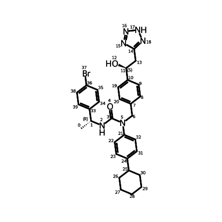 C[C@@H](NC(=O)N(Cc1ccc([C@@H](O)Cc2nn[nH]n2)cc1)c1ccc(C2CCCCC2)cc1)c1ccc(Br)cc1